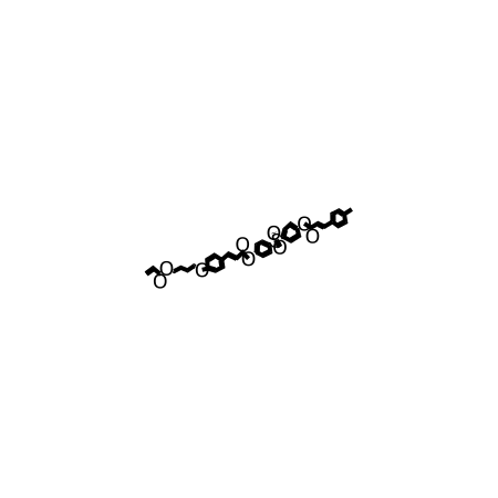 C=CC(=O)OCCCCOc1ccc(/C=C/C(=O)Oc2ccc(S(=O)(=O)c3ccc(OC(=O)/C=C/c4ccc(C)cc4)cc3)cc2)cc1